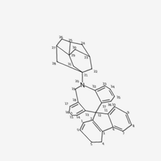 C1=CC2=C(CC1)c1ccccc1C21c2ccccc2CN(C23CC4CC5CC(C2)C5(C4)C3)c2ccccc21